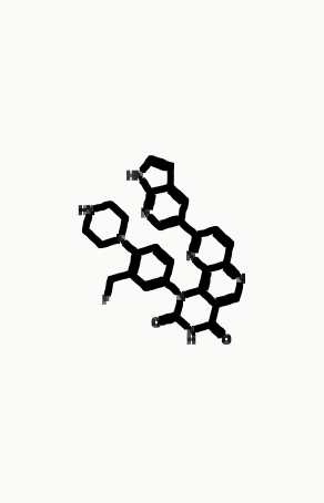 O=c1[nH]c(=O)n(-c2ccc(N3CCNCC3)c(CF)c2)c2c1cnc1ccc(-c3cnc4[nH]ccc4c3)nc12